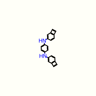 C1=Cc2cc(Nc3ccc(Nc4ccc5c(c4)C=C5)cc3)ccc21